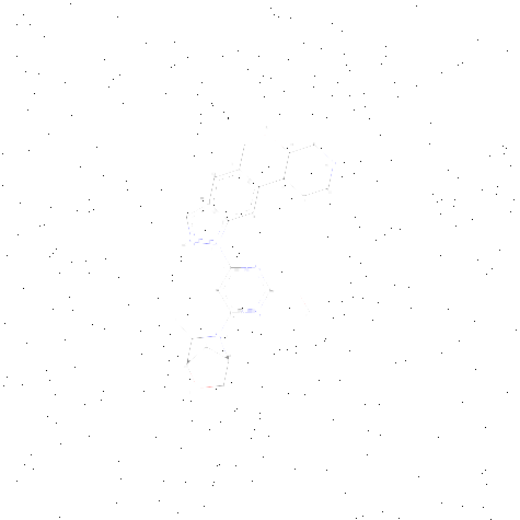 COc1nc(N2C3COC(C3)C2C)cc(-n2ncc3cc(C)c(C4CCNCC4O)cc32)n1